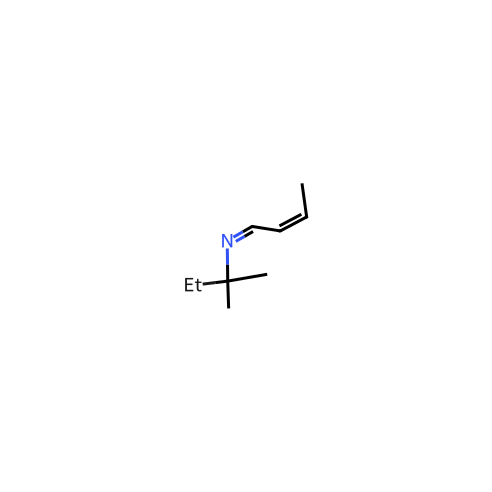 C/C=C\C=N/C(C)(C)CC